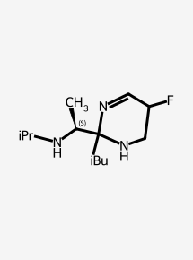 CCC(C)C1([C@H](C)NC(C)C)N=CC(F)CN1